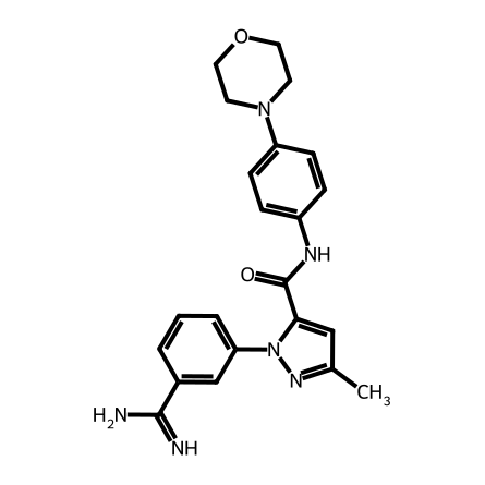 Cc1cc(C(=O)Nc2ccc(N3CCOCC3)cc2)n(-c2cccc(C(=N)N)c2)n1